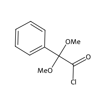 COC(OC)(C(=O)Cl)c1ccccc1